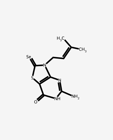 CC(C)=CCn1c(=[Se])sc2c(=O)[nH]c(N)nc21